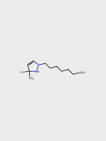 CCCCCCCCCCCCCCN1C=CC(C)(Cl)N1